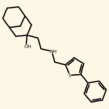 OC1(CCNCc2ccc(-c3ccccc3)s2)CC2CCCC(C2)C1